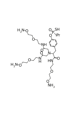 CC(C)P(=O)(S)Oc1ccc(CC(C(=O)NCCOCCON)N(CC(=O)NCCOCCON)CC(=O)NCCOCCON)cc1